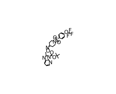 CC(C)(C)OC(=O)n1c(CON=C2CCN(S(=O)(=O)c3ccc(OC(F)(F)F)cc3)CC2)nc2cccnc21